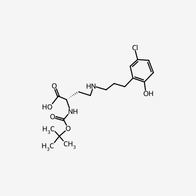 CC(C)(C)OC(=O)N[C@@H](CCNCCCc1cc(Cl)ccc1O)C(=O)O